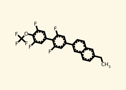 CCc1ccc2cc(-c3cc(F)c(-c4cc(F)c(OC(F)(F)F)c(F)c4)c(F)c3)ccc2c1